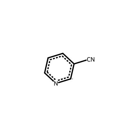 N#Cc1[c]nccc1